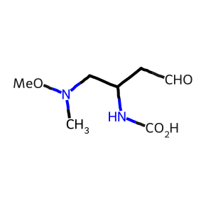 CON(C)CC(CC=O)NC(=O)O